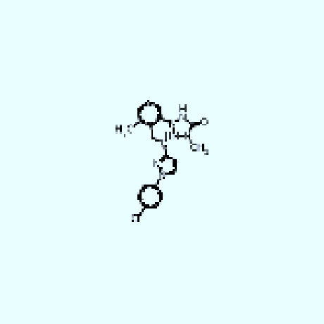 Cc1cccc(N2NC(=O)N(C)N2)c1COc1ccn(-c2ccc(Cl)cc2)n1